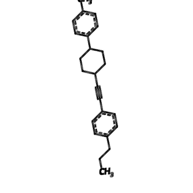 CCCc1ccc(C#CC2CCC(c3ccc(C)cc3)CC2)cc1